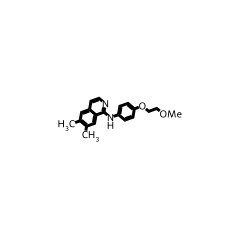 COCCOc1ccc(Nc2nccc3cc(C)c(C)cc23)cc1